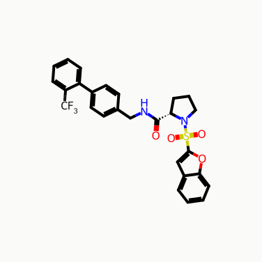 O=C(NCc1ccc(-c2ccccc2C(F)(F)F)cc1)[C@@H]1CCCN1S(=O)(=O)c1cc2ccccc2o1